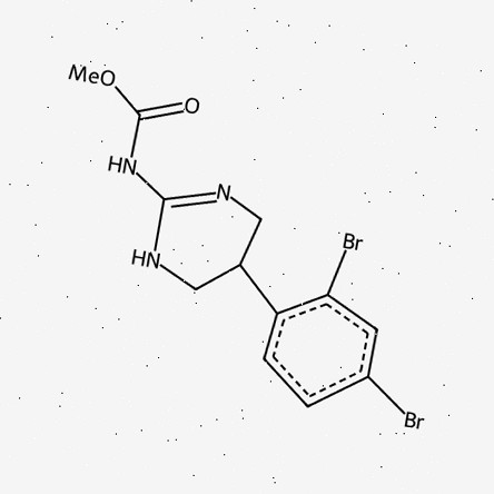 COC(=O)NC1=NCC(c2ccc(Br)cc2Br)CN1